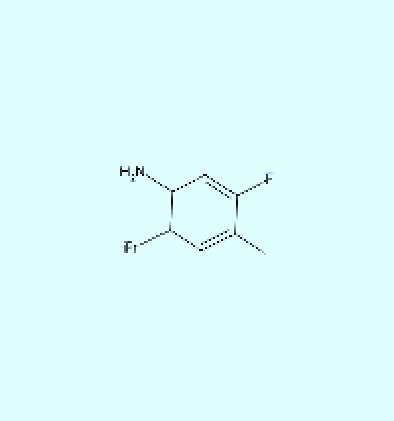 CC1=CC(C(C)C)C(N)C=C1F